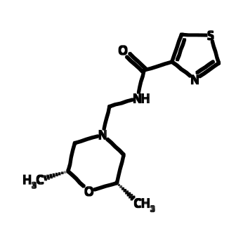 C[C@@H]1CN(CNC(=O)c2cscn2)C[C@H](C)O1